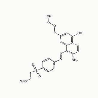 COCCS(=O)(=O)c1ccc(N=Nc2c(N)ccc3c(O)cc(SOOO)cc23)cc1